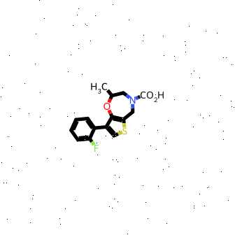 CC1CN(C(=O)O)Cc2scc(-c3ccccc3F)c2O1